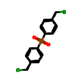 O=S(=O)(c1ccc(CCl)cc1)c1ccc(CCl)cc1